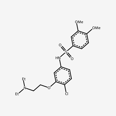 CCN(CC)CCOc1cc(NS(=O)(=O)c2ccc(OC)c(OC)c2)ccc1Cl